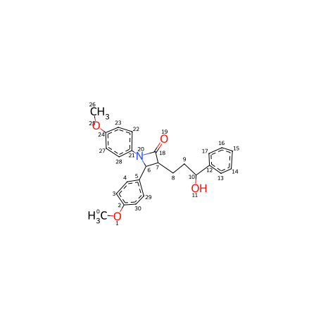 COc1ccc(C2C(CCC(O)c3ccccc3)C(=O)N2c2ccc(OC)cc2)cc1